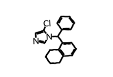 Clc1cncn1C(c1ccccc1)c1cccc2c1CCCC2